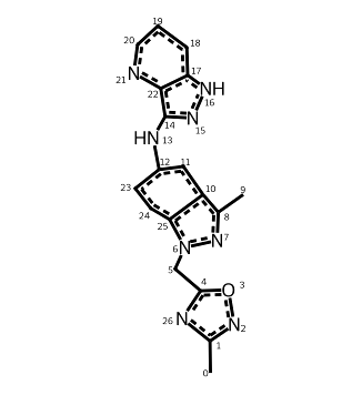 Cc1noc(Cn2nc(C)c3cc(Nc4n[nH]c5cccnc45)ccc32)n1